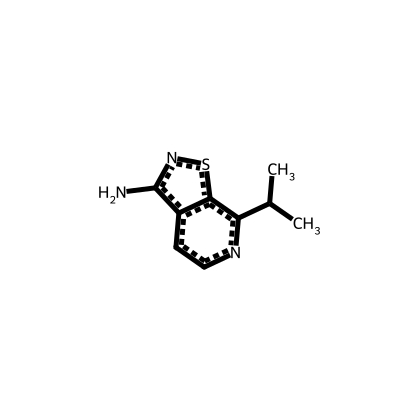 CC(C)c1nccc2c(N)nsc12